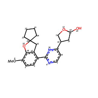 COc1ccc(-c2nccc(C3COB(O)C3)n2)c2c1OC1(CCCC1)C2